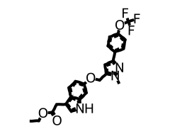 CCOC(=O)Cc1c[nH]c2cc(OCc3cc(-c4ccc(OC(F)(F)F)cc4)nn3C)ccc12